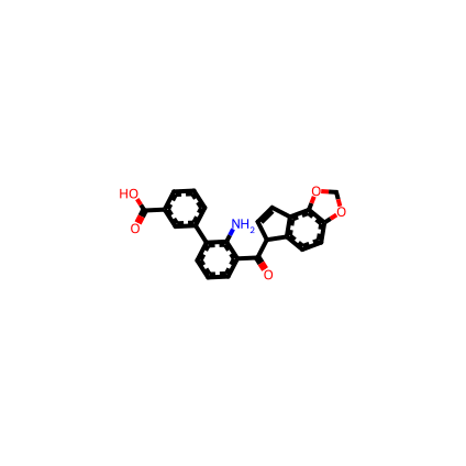 Nc1c(C(=O)C2C=Cc3c2ccc2c3OCO2)cccc1-c1cccc(C(=O)O)c1